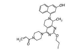 C=CC(=O)N1CCN(c2nc(OCCI)nc3c2CCN(c2cc(O)cc4ccccc24)C3C)CC1